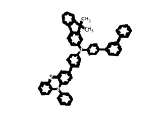 CC1(C)c2ccccc2-c2ccc(N(c3ccc(-c4cccc(-c5ccccc5)c4)cc3)c3ccc(-c4ccc5c(c4)Sc4ccccc4N5c4ccccc4)cc3)cc21